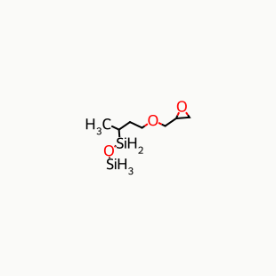 CC(CCOCC1CO1)[SiH2]O[SiH3]